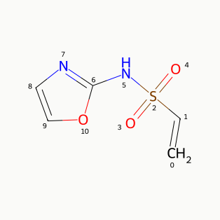 C=CS(=O)(=O)Nc1ncco1